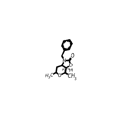 CC1CC2[C@@H](OC(=O)N2Cc2ccccc2)C(C)O1